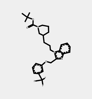 CC(C)(C)OC(=O)N1CCCC(CCCn2c(COc3cccc(C(F)(F)F)c3)nc3ccccc32)C1